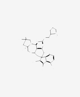 CN1CCCC1COc1nc2c3c(n1)N1CC(F)(F)C[C@H]1COC3CC1(C2)C(F)=C(F)c2c(Cl)cccc21